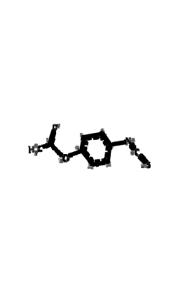 CC(=O)Oc1ccc(N=C=S)cc1